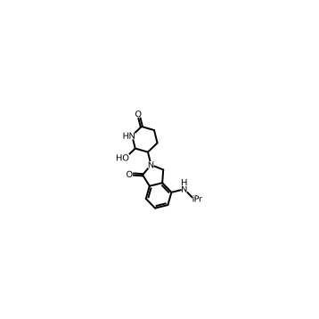 CC(C)Nc1cccc2c1CN(C1CCC(=O)NC1O)C2=O